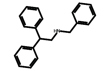 c1ccc(CNCC(c2ccccc2)c2ccccc2)cc1